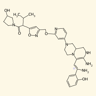 CC(C)C(C(=O)N1CCC(O)C1)c1cc(COc2cc(N3CCN4C(/C=C(\N)c5ccccc5O)=C(N)NCC4C3)ccn2)no1